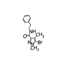 Cc1c(C(=O)NCCc2ccccc2)nn(C)c1Br